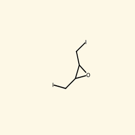 ICC1OC1CI